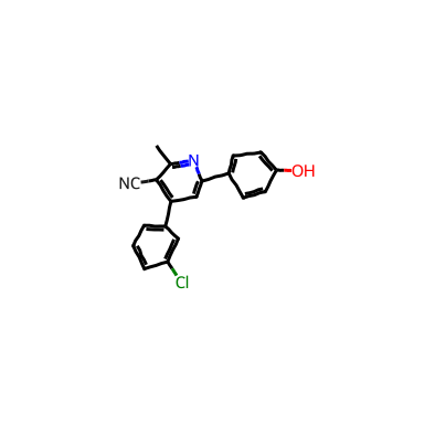 Cc1nc(-c2ccc(O)cc2)cc(-c2cccc(Cl)c2)c1C#N